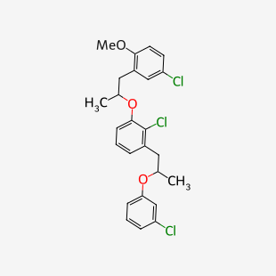 COc1ccc(Cl)cc1CC(C)Oc1cccc(CC(C)Oc2cccc(Cl)c2)c1Cl